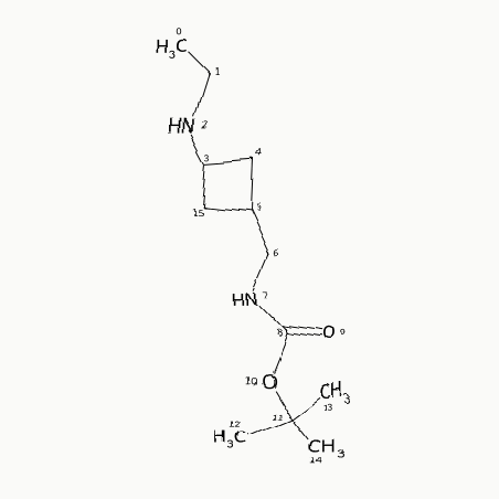 CCNC1CC(CNC(=O)OC(C)(C)C)C1